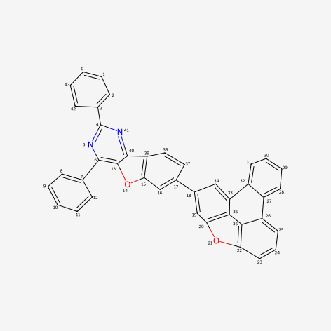 c1ccc(-c2nc(-c3ccccc3)c3oc4cc(-c5cc6oc7cccc8c9ccccc9c(c5)c6c78)ccc4c3n2)cc1